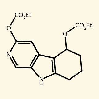 CCOC(=O)Oc1cc2c3c([nH]c2cn1)CCCC3OC(=O)OCC